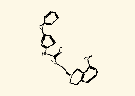 COc1cccc2c1CN(CCNC(=O)Nc1ccc(Oc3ccccc3)cc1)CC2